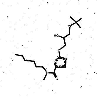 CCCCCCN(C)C(=O)c1cnc(OCC(O)CNC(C)(C)C)s1